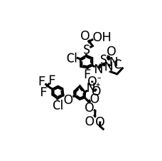 CCOC(=O)COC(=O)c1cc(Oc2ccc(C(F)(F)F)cc2Cl)ccc1[N+](=O)[O-].O=C(O)CSc1cc(N=c2sc(=O)n3n2CCCC3)c(F)cc1Cl